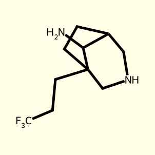 NC1C2CCC1(CCC(F)(F)F)CNC2